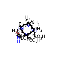 C=CC1=C(C)c2cc3[nH]c(cc4nc(cc5[nH]c(cc1n2)c(C)c5CCC(=O)O)C(CCC(=O)O)=C4C)c(C)c3C=C.O=C(O)[C@@H]1C[C@@H](O)CN1